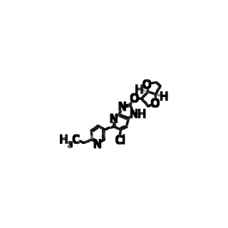 CCc1ccc(-c2nc3nc(O[C@@H]4CO[C@@H]5CCO[C@@H]54)[nH]c3cc2Cl)cn1